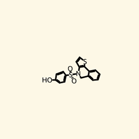 O=S(=O)(c1ccc(O)cc1)N1Cc2ccccc2-c2sccc21